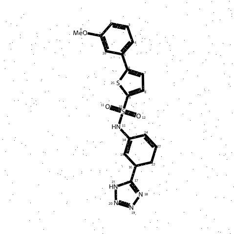 COc1cccc(-c2ccc(S(=O)(=O)NC3=CC(c4nnn[nH]4)CC=C3)s2)c1